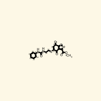 COC(=O)c1noc2c1C(=O)C(SCCNC(=O)Nc1ccccc1)=CC2=O